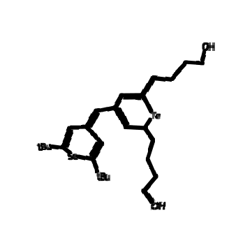 CC(C)(C)C1=CC(=CC2=CC(CCCCO)[Te]C(CCCCO)=C2)C=C(C(C)(C)C)[Se]1